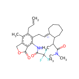 C=CCc1c(C)c2c(c(NC(=O)C(F)(F)F)c1C/C=C1\CCCCCC1C(C)C(=O)N(C)C)C(=O)OC2